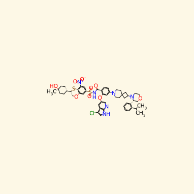 CC(C)c1ccccc1[C@H]1COCCN1C1CC2(CCN(c3ccc(C(=O)NS(=O)(=O)c4cc5c(c([N+](=O)[O-])c4)S[C@@H]([C@H]4CC[C@](C)(O)CC4)CO5)c(Oc4cnc5[nH]cc(Cl)c5c4)c3)CC2)C1